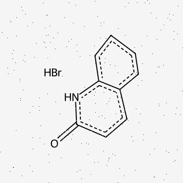 Br.O=c1ccc2ccccc2[nH]1